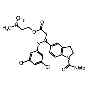 CNC(=O)N1CCc2cc(N(CC(=O)OCCN(C)C)Sc3cc(Cl)cc(Cl)c3)ccc21